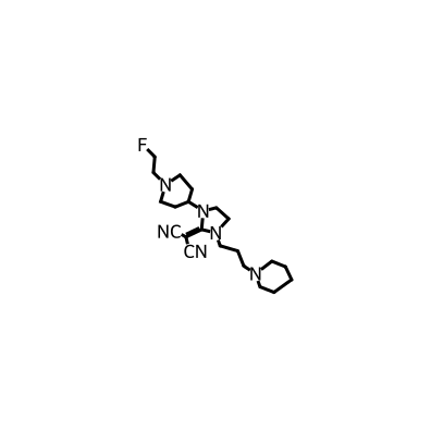 N#CC(C#N)=C1N(CCCN2CCCCC2)CCN1C1CCN(CCF)CC1